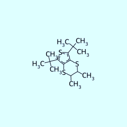 CC1Sc2c(C(C)(C)C)sc(C(C)(C)C)c2SC1C